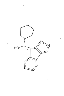 OC(C1CCCCC1)C1c2ccccc2-c2cncn21